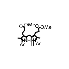 COC(=O)CCc1c(Cc2[nH]c(C(C)=O)c(C)c2CCC(=O)OC)[nH]c(C(C)=O)c1C